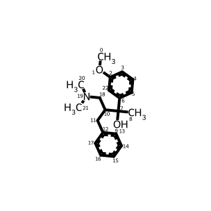 COc1cccc(C(C)(O)C(Cc2ccccc2)CN(C)C)c1